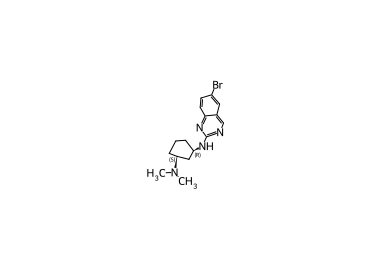 CN(C)[C@H]1CCC[C@@H](Nc2ncc3cc(Br)ccc3n2)C1